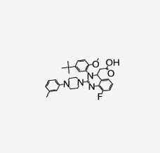 COc1ccc(C(C)(C)C)cc1N1C(N2CCN(c3cccc(C)c3)CC2)=Nc2c(F)cccc2C1CC(=O)O